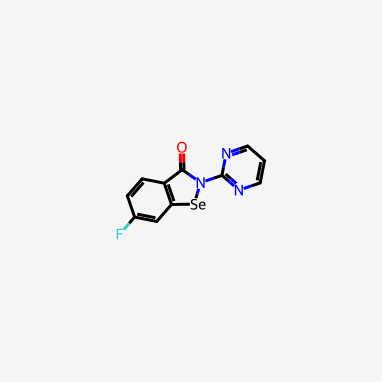 O=c1c2ccc(F)cc2[se]n1-c1ncccn1